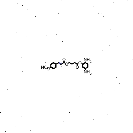 N#COc1ccc(/C=C/C(=O)OCCCC(=O)Oc2cc(N)ccc2N)cc1